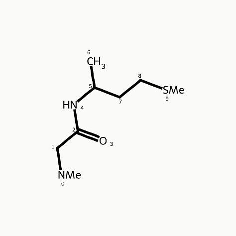 CNCC(=O)NC(C)CCSC